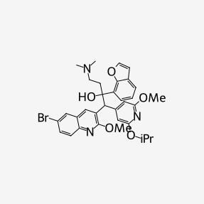 COc1cc(C(c2cc3cc(Br)ccc3nc2OC)C(O)(CCN(C)C)c2cccc3ccoc23)cc(OC(C)C)n1